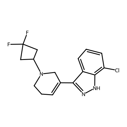 FC1(F)CC(N2CCC=C(c3n[nH]c4c(Cl)cccc34)C2)C1